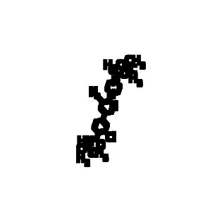 CN(C)NC(=O)c1ccc(-c2cnc(N3CCN(C(=O)OC(C)(C)C)CC3)c(C#N)c2)cc1Cl